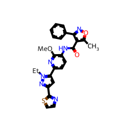 CCn1nc(-c2nccs2)cc1-c1ccc(NC(=O)c2c(-c3ccccc3)noc2C)c(OC)n1